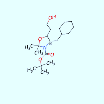 CC(C)(C)OC(=O)N1[C@@H](CC2CCCCC2)C(CCO)OC1(C)C